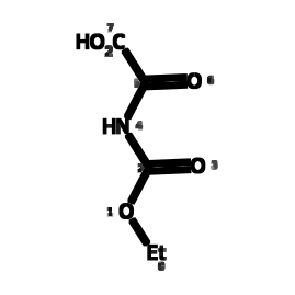 CCOC(=O)NC(=O)C(=O)O